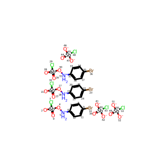 [O]=[Sb]([O-])([Cl])[O][NH2+]c1ccc(Br)cc1.[O]=[Sb]([O-])([Cl])[O][NH2+]c1ccc(Br)cc1.[O]=[Sb]([O-])([Cl])[O][NH2+]c1ccc(Br)cc1.[O]=[Sb]([O-])([O-])[Cl].[O]=[Sb]([O-])([O-])[Cl].[O]=[Sb]([O-])([O-])[Cl]